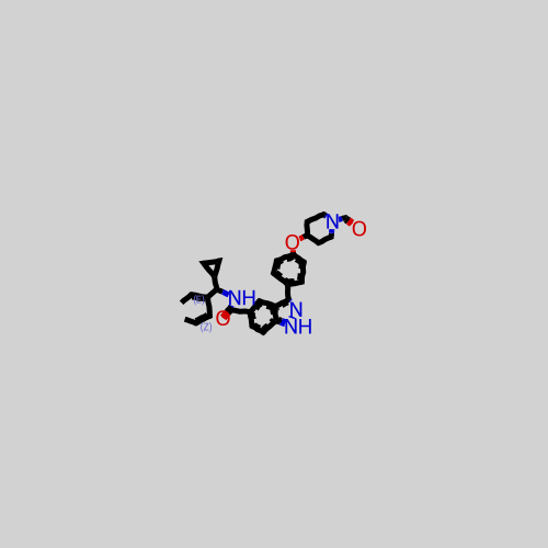 C/C=C\C(=C/C)C(NC(=O)c1ccc2[nH]nc(-c3ccc(OC4CCN(C=O)CC4)cc3)c2c1)C1CC1